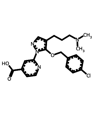 CN(C)CCCc1cnn(-c2cc(C(=O)O)ccn2)c1OCc1ccc(Cl)cc1